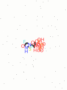 CC1(F)C[C@@H](OP(=O)(O)OP(=O)(O)OP(=O)(O)O)O[C@H]1n1cc(F)c(=O)[nH]c1=S